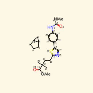 C1CC2CC2C1.CNC(=O)Nc1ccc(-c2cnc(CCC(C)(C)C(=O)OC)s2)cc1